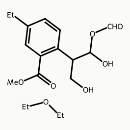 CCOCC.CCc1ccc(C(CO)C(O)OC=O)c(C(=O)OC)c1